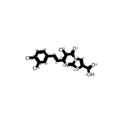 O=C(O)c1cn2c(=O)c(Cl)c(/C=C/c3ccc(Cl)c(Cl)c3)nc2s1